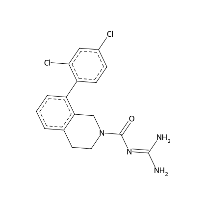 NC(N)=NC(=O)N1CCc2cccc(-c3ccc(Cl)cc3Cl)c2C1